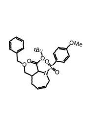 COc1ccc(S(=O)(=O)N2CC=CCC(COCc3ccccc3)C2C(=O)OC(C)(C)C)cc1